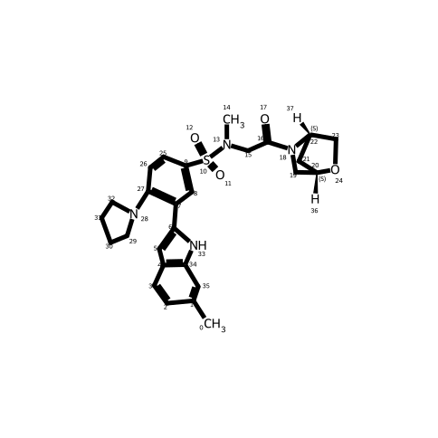 Cc1ccc2cc(-c3cc(S(=O)(=O)N(C)CC(=O)N4C[C@@H]5C[C@H]4CO5)ccc3N3CCCC3)[nH]c2c1